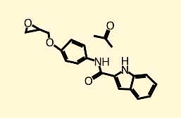 CC(C)=O.O=C(Nc1ccc(OCC2CO2)cc1)c1cc2ccccc2[nH]1